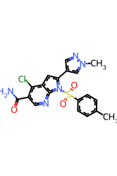 Cc1ccc(S(=O)(=O)n2c(-c3cnn(C)c3)cc3c(Cl)c(C(N)=O)cnc32)cc1